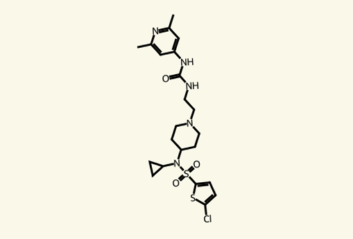 Cc1cc(NC(=O)NCCN2CCC(N(C3CC3)S(=O)(=O)c3ccc(Cl)s3)CC2)cc(C)n1